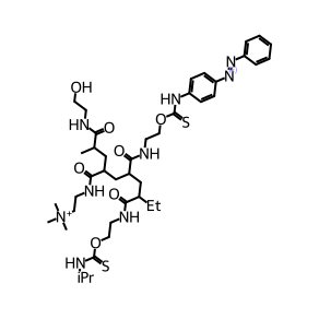 CCC(CC(CC(CC(C)C(=O)NCCO)C(=O)NCC[N+](C)(C)C)C(=O)NCCOC(=S)Nc1ccc(/N=N/c2ccccc2)cc1)C(=O)NCCOC(=S)NC(C)C